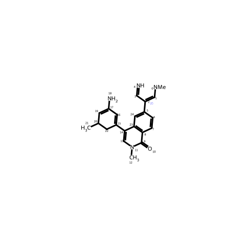 CN/C=C(\C=N)c1ccc2c(=O)n(C)cc(C3=CC(N)=CC(C)C3)c2c1